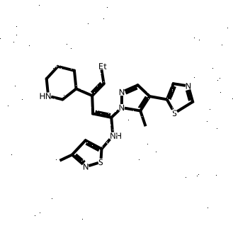 CC/C=C(/C=C(/Nc1cc(C)ns1)n1ncc(-c2cncs2)c1C)C1CCCNC1